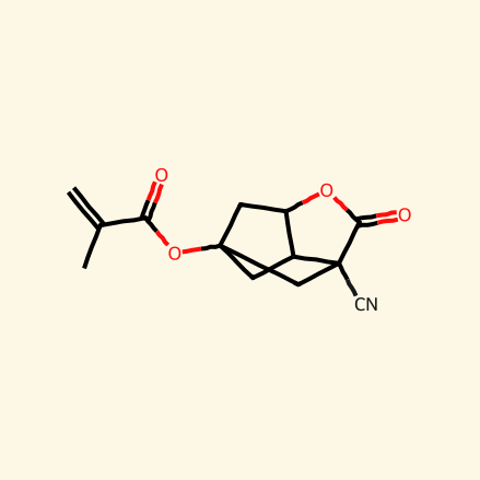 C=C(C)C(=O)OC12CC3OC(=O)C(C#N)(C1)C3C2